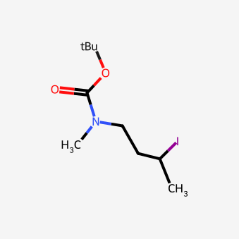 CC(I)CCN(C)C(=O)OC(C)(C)C